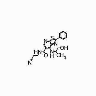 CC(CO)Nc1c(C(=O)NCCC#N)cnc2sc(-c3ccccc3)nc12